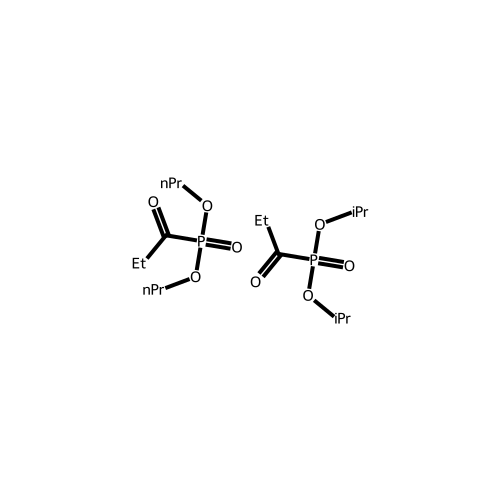 CCC(=O)P(=O)(OC(C)C)OC(C)C.CCCOP(=O)(OCCC)C(=O)CC